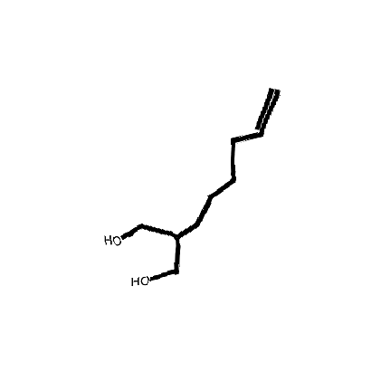 C=CCCCCC(CO)CO